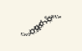 COc1ccc(/C=C/c2ccc(-c3ccc(C4CCC(OC)CC4)c(F)c3F)cc2)c(F)c1